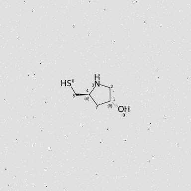 O[C@H]1CN[C@H](CS)C1